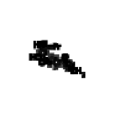 CCCc1n[nH]c2cc(O)c(C(=O)N3Cc4ccc(C(=O)N5CCN(C)CC5)cc4C3)cc12